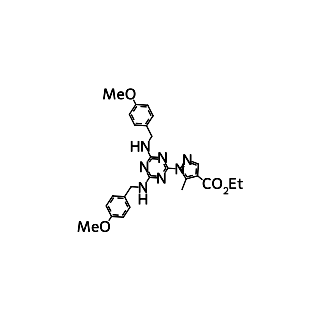 CCOC(=O)c1cnn(-c2nc(NCc3ccc(OC)cc3)nc(NCc3ccc(OC)cc3)n2)c1C